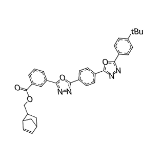 CC(C)(C)c1ccc(-c2nnc(-c3ccc(-c4nnc(-c5cccc(C(=O)OCC6CC7C=CC6C7)c5)o4)cc3)o2)cc1